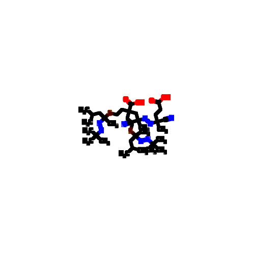 CC(C)CC(C)(N=NC(C)(C)C)SCCC(CCSC(C)(CC(C)C)N=NC(C)(C)C)(CC(C)(C#N)N=NC(C)(C#N)CCC(=O)O)C(=O)O